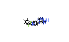 Cc1ccc(C(F)(F)CN2CCC[C@@H](Nc3ncnc4[nH]ncc34)CC2)cc1